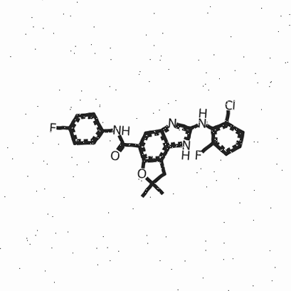 CC1(C)Cc2c(c(C(=O)Nc3ccc(F)cc3)cc3nc(Nc4c(F)cccc4Cl)[nH]c23)O1